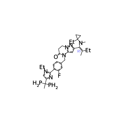 CC/C(C)=C(/c1cc2n(n1)CCC(=O)N2Cc1ccc(-c2nc(C(C)(P)P)cn2CC)c(F)c1)N(C)C1(CC)CC1